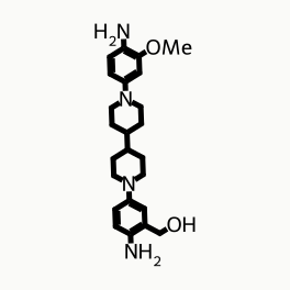 COc1cc(N2CCC(C3CCN(c4ccc(N)c(CO)c4)CC3)CC2)ccc1N